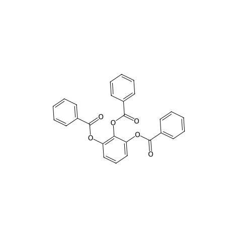 O=C(Oc1cccc(OC(=O)c2ccccc2)c1OC(=O)c1ccccc1)c1ccccc1